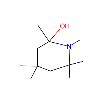 CN1C(C)(C)CC(C)(C)CC1(C)O